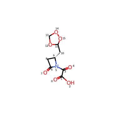 O=C(O)C(=O)N1C(=O)C[C@@H]1CC1OCOO1